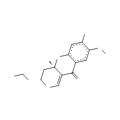 CCO[C@@H]1C[C@@H]2Oc3cc(F)c(OC)cc3C(=O)C2=CO1